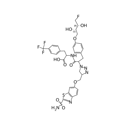 NS(=O)(=O)c1nc2ccc(OCC3CN(C(Cc4ccc(OC[C@H](O)[C@@H](O)CF)cc4)C(=O)NC(Cc4ccc(C(F)(F)F)cc4)C(=O)O)N=N3)cc2s1